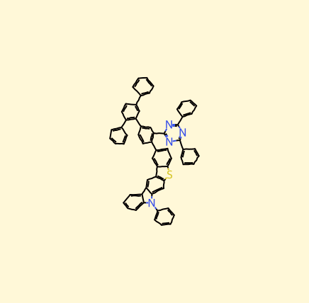 c1ccc(-c2ccc(-c3ccccc3)c(-c3ccc(-c4ccc5sc6cc7c(cc6c5c4)c4ccccc4n7-c4ccccc4)c(-c4nc(-c5ccccc5)nc(-c5ccccc5)n4)c3)c2)cc1